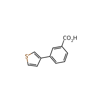 O=C(O)c1cccc(-c2ccsc2)c1